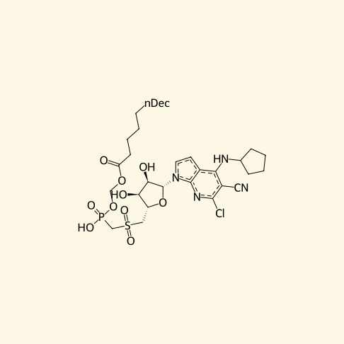 CCCCCCCCCCCCCCC(=O)OCOP(=O)(O)CS(=O)(=O)C[C@H]1O[C@@H](n2ccc3c(NC4CCCC4)c(C#N)c(Cl)nc32)[C@H](O)[C@@H]1O